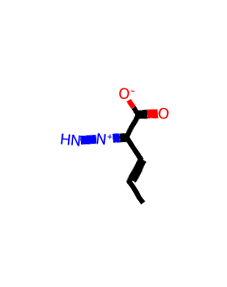 CC=CC(=[N+]=N)C(=O)[O-]